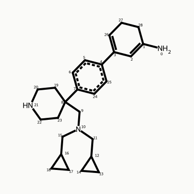 NC1=CC(c2ccc(C3(CN(CC4CC4)CC4CC4)CCNCC3)cc2)=CCC1